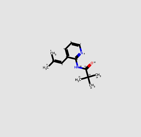 CC(C)=Cc1cccnc1NC(=O)C(C)(C)C